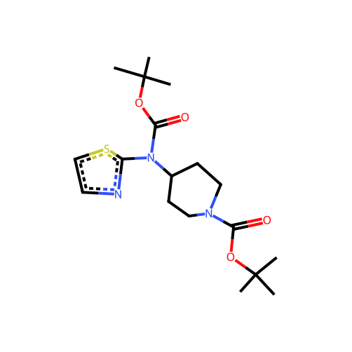 CC(C)(C)OC(=O)N1CCC(N(C(=O)OC(C)(C)C)c2nccs2)CC1